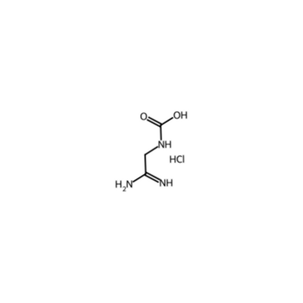 Cl.N=C(N)CNC(=O)O